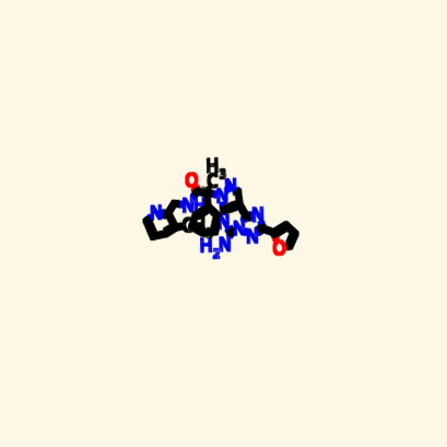 Cc1cccnc1CNC(=O)[C@@](C)(c1ccccc1)n1ncc2c1nc(N)n1nc(-c3ccco3)nc21